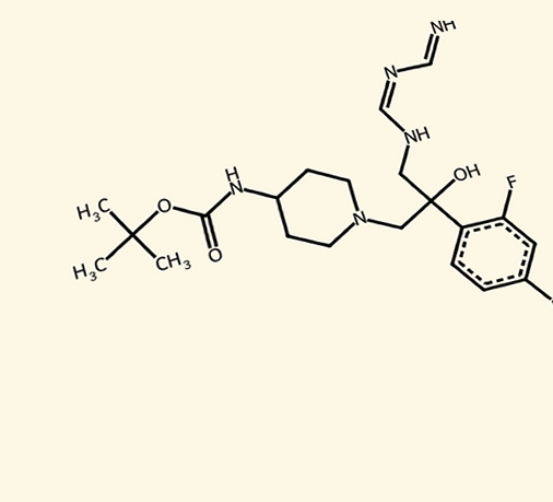 CC(C)(C)OC(=O)NC1CCN(CC(O)(CN/C=N\C=N)c2ccc(F)cc2F)CC1